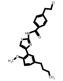 CCCCc1ccc(OC)c(-c2csc(NC(=O)c3ccc(CCCl)cc3)n2)c1